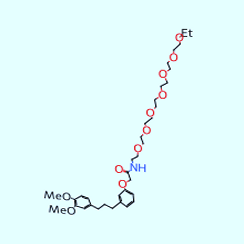 CCOCCOCCOCCOCCOCCOCCOCCNC(=O)COc1cccc(CCCc2ccc(OC)c(OC)c2)c1